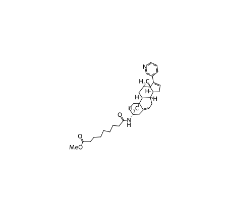 COC(=O)CCCCCCCC(=O)N[C@@H]1CC[C@@]2(C)C(=CC[C@@H]3[C@@H]2CC[C@]2(C)C(c4cccnc4)=CC[C@@H]32)C1